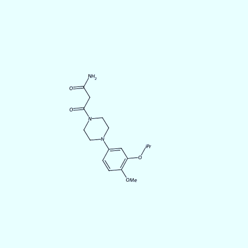 COc1ccc(N2CCN(C(=O)CC(N)=O)CC2)cc1OC(C)C